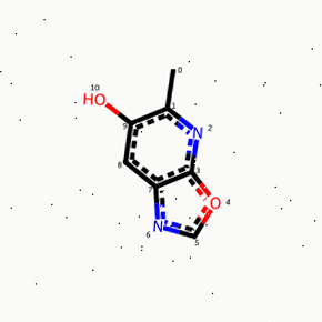 Cc1nc2ocnc2cc1O